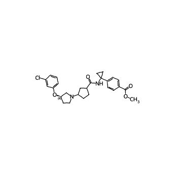 COC(=O)c1ccc(C2(NC(=O)C3CCC(N4CC[C@@H](Oc5cccc(Cl)c5)C4)C3)CC2)cc1